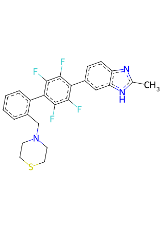 Cc1nc2ccc(-c3c(F)c(F)c(-c4ccccc4CN4CCSCC4)c(F)c3F)cc2[nH]1